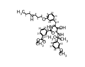 CCCNCCCOc1cccc(C[C@H](NC(=O)c2cccc(C(=O)OC)c2)[C@H](O)CNC(C)(C)c2cccc(OC)c2)c1